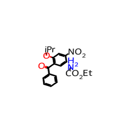 CC(C)Oc1cc([N+](=O)[O-])ccc1C(=O)c1ccccc1.CCOC(N)=O